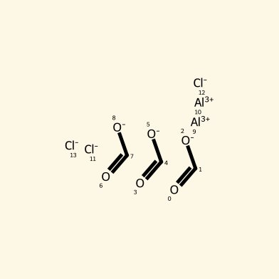 O=C[O-].O=C[O-].O=C[O-].[Al+3].[Al+3].[Cl-].[Cl-].[Cl-]